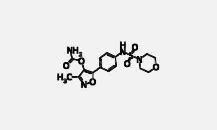 Cc1noc(-c2ccc(NS(=O)(=O)N3CCOCC3)cc2)c1OC(N)=O